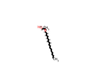 CCCCCCCCCCCCCCCCCCOC(C)CO